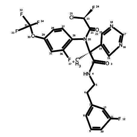 C[C@@](C(=O)NCCc1cccc(F)c1)(c1cncnc1)N(C(=O)[C@H](F)Cl)c1ccc(OC(F)(F)F)cc1F